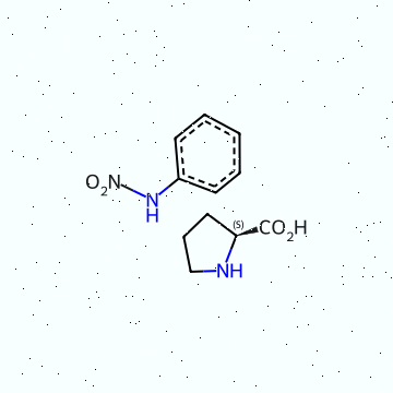 O=C(O)[C@@H]1CCCN1.O=[N+]([O-])Nc1ccccc1